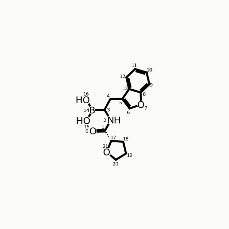 O=C(NC(Cc1coc2ccccc12)B(O)O)[C@@H]1CCCO1